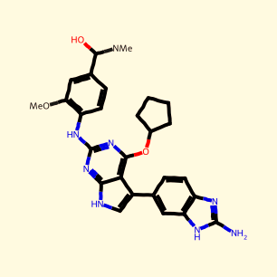 CNC(O)c1ccc(Nc2nc(OC3CCCC3)c3c(-c4ccc5nc(N)[nH]c5c4)c[nH]c3n2)c(OC)c1